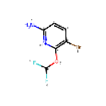 Nc1ccc(Br)c(OC(F)F)n1